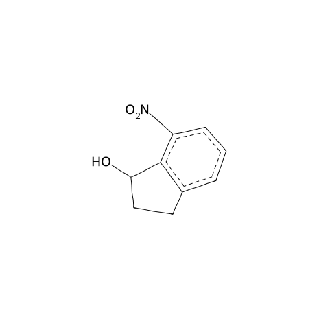 O=[N+]([O-])c1cccc2c1C(O)CC2